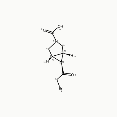 O=C(CBr)[C@H]1[C@@H]2CN(C(=O)O)C[C@@H]21